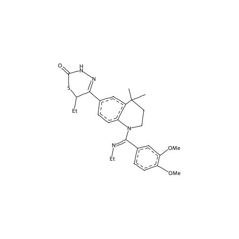 CCN=C(c1ccc(OC)c(OC)c1)N1CCC(C)(C)c2cc(C3=NNC(=O)SC3CC)ccc21